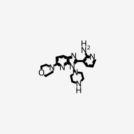 Nc1ncccc1-c1nc2ccc(N3CCOCC3)nc2n1N1CCNCC1